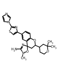 CN1OC2(CC(C3CCOC(C)(C)C3)Oc3ccc(-c4csc(-n5ccnc5)n4)cc32)N=C1N